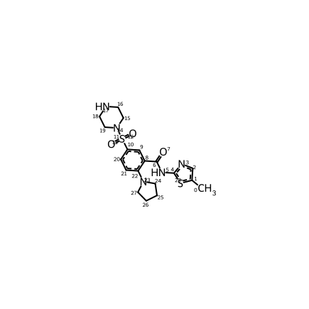 Cc1cnc(NC(=O)c2cc(S(=O)(=O)N3CCNCC3)ccc2N2CCCC2)s1